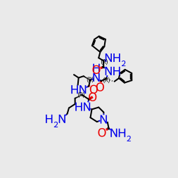 CC(C)C[C@@H](NC(=O)[C@@H](Cc1ccccc1)NC(=O)[C@H](N)Cc1ccccc1)C(=O)N[C@H](CCCCN)C(=O)NC1CCN(CC(N)=O)CC1